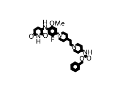 COc1cc(N2CCC(CCN3CCC(NC(=O)OCc4ccccc4)CC3)CC2)c(F)cc1NC1CCC(=O)NC1=O